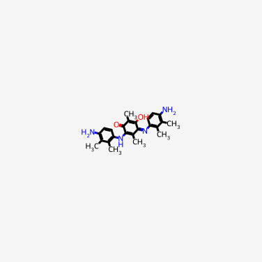 CC1=C(O)/C(=N\c2ccc(N)c(C)c2C)C(C)=C(Nc2ccc(N)c(C)c2C)C1=O